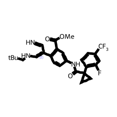 COC(=O)c1cc(NC(=O)C2(c3ccc(C(F)(F)F)cc3F)CC2)ccc1/C(C=N)=C/NCC(C)(C)C